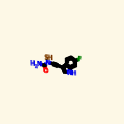 NC(=O)N(S)C#Cc1c[nH]c2cc(F)ccc12